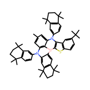 Cc1cc2c3c(c1)N(c1ccc4c(c1)C(C)(C)CCC4(C)C)c1c(sc4ccc(C(C)(C)C)cc14)B3c1cc3c(cc1N2c1ccc2c(c1)C(C)(C)CCC2(C)C)C(C)(C)CCC3(C)C